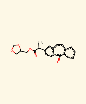 CC(C(=O)OCC1COCO1)c1ccc2c(=O)c3ccccc3ccc2c1